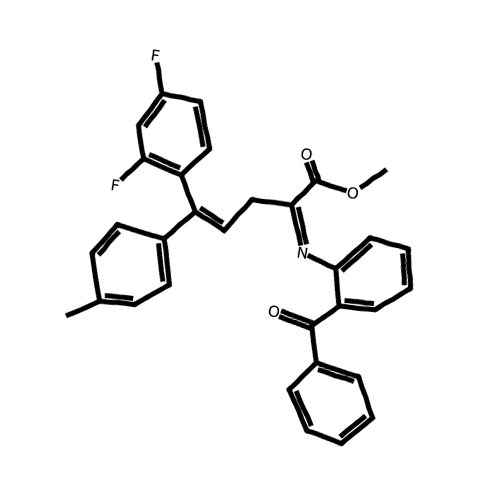 COC(=O)C(CC=C(c1ccc(C)cc1)c1ccc(F)cc1F)=Nc1ccccc1C(=O)c1ccccc1